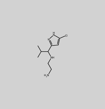 CC(C)C(NCCN)c1cc(Cl)[nH]n1